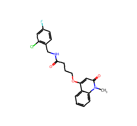 Cn1c(=O)cc(OCCCC(=O)NCc2ccc(F)cc2Cl)c2ccccc21